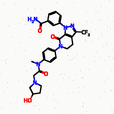 CN(C(=O)CN1CCC(O)C1)c1ccc(N2CCc3c(C(F)(F)F)nn(-c4cccc(C(N)=O)c4)c3C2=O)cc1